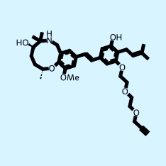 C#CCOCCOCCOc1cc(/C=C/c2cc3c(c(OC)c2)O[C@H](C)CC[C@@H](O)C(C)(C)NC3)cc(O)c1CC=C(C)C